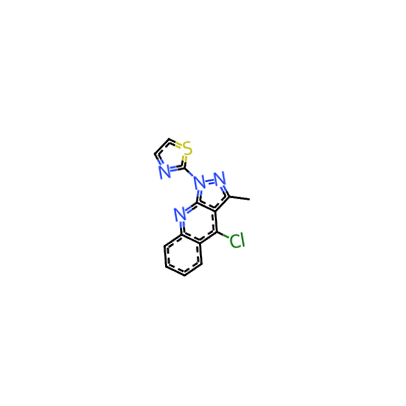 Cc1nn(-c2nccs2)c2nc3ccccc3c(Cl)c12